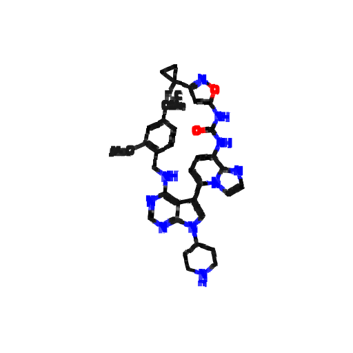 COc1ccc(CNc2ncnc3c2c(-c2ccc(NC(=O)Nc4cc(C5(C(F)(F)F)CC5)no4)c4nccn24)cn3C2CCNCC2)c(OC)c1